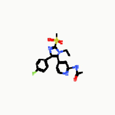 CCn1c(S(C)(=O)=O)nc(-c2ccc(F)cc2)c1-c1ccnc(NC(C)=O)c1